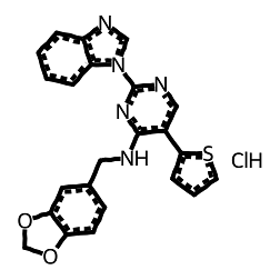 Cl.c1csc(-c2cnc(-n3cnc4ccccc43)nc2NCc2ccc3c(c2)OCO3)c1